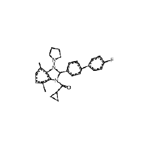 Cc1ccc(C)c2c1N(C(=O)C1CC1)C(c1ccc(-c3ccc(F)cc3)cc1)N2N1CCCC1